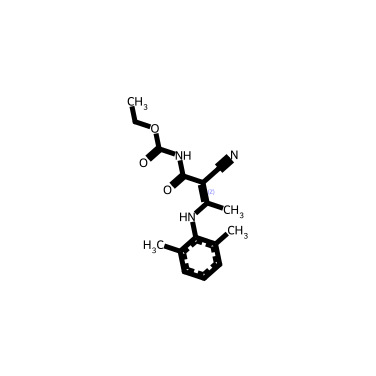 CCOC(=O)NC(=O)/C(C#N)=C(/C)Nc1c(C)cccc1C